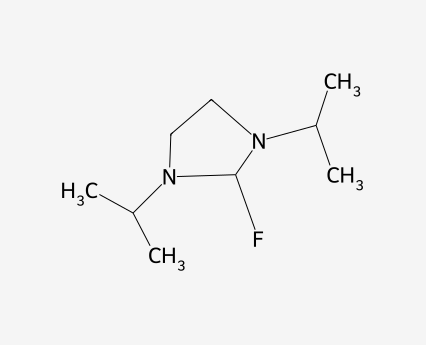 CC(C)N1CCN(C(C)C)C1F